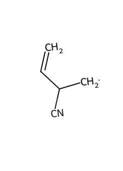 [CH2]C(C#N)C=C